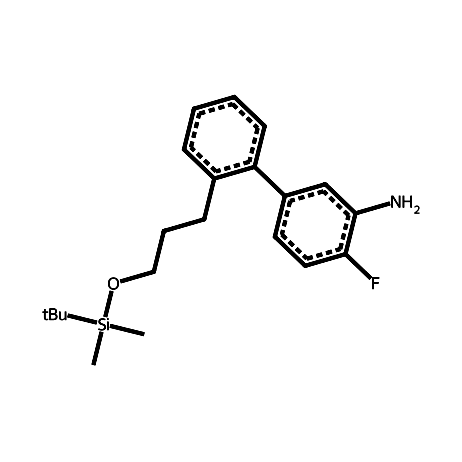 CC(C)(C)[Si](C)(C)OCCCc1ccccc1-c1ccc(F)c(N)c1